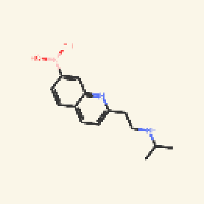 CC(C)NCCc1ccc2ccc(B(O)O)cc2n1